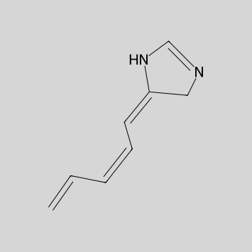 C=C/C=C\C=C1/CN=CN1